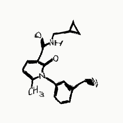 Cc1ccc(C(=O)NCC2CC2)c(=O)n1-c1cccc(C#N)c1